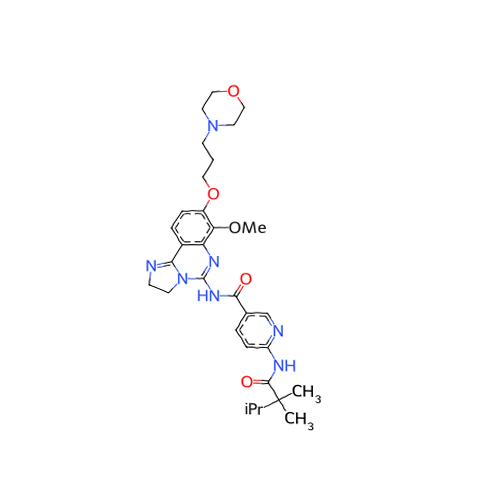 COc1c(OCCCN2CCOCC2)ccc2c1N=C(NC(=O)c1ccc(NC(=O)C(C)(C)C(C)C)nc1)N1CCN=C21